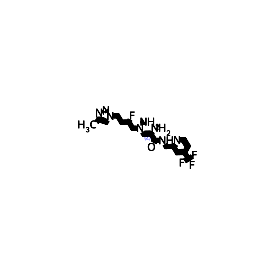 Cc1cn(CCC(F)CN(N)/C=C(\N)C(=O)NCc2cc(C(F)(F)F)ccn2)nn1